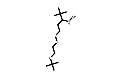 CC(C)(C)OCCSSCCC(NO)C(C)(C)C